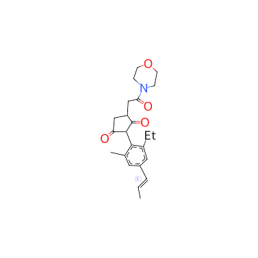 C/C=C/c1cc(C)c(C2C(=O)CC(CC(=O)N3CCOCC3)C2=O)c(CC)c1